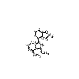 Cc1nc(-c2cccc3oc(F)cc23)c2ccnc(N)n12